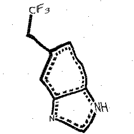 FC(F)(F)Cc1ccc2[nH]cnc2c1